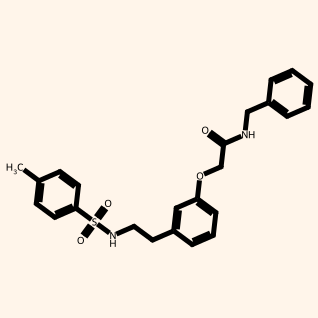 Cc1ccc(S(=O)(=O)NCCc2cccc(OCC(=O)NCc3ccccc3)c2)cc1